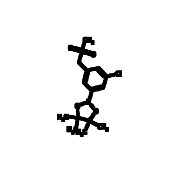 CC1(C)OB(c2cc(Cl)cc(CS(C)(=O)=O)c2)OC1(C)C